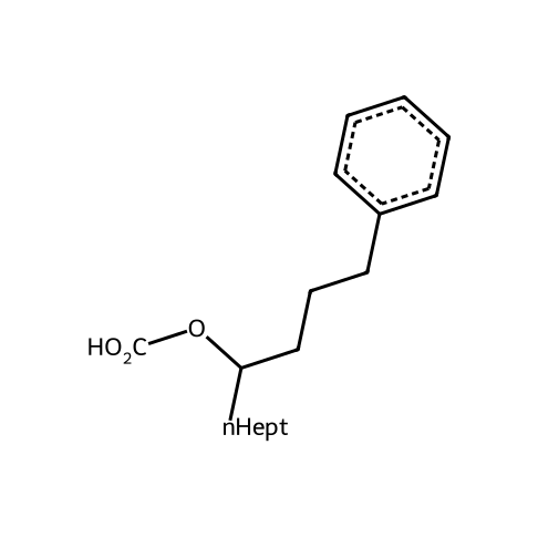 CCCCCCCC(CCCc1ccccc1)OC(=O)O